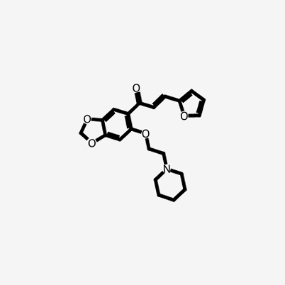 O=C(C=Cc1ccco1)c1cc2c(cc1OCCN1CCCCC1)OCO2